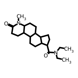 CCN(CC)C(=O)C1CCC2C1CCC1C2CCC2C1CCC(=O)N2C